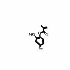 C=C(C)C(=O)Oc1ccc(C(C)=O)cc1O